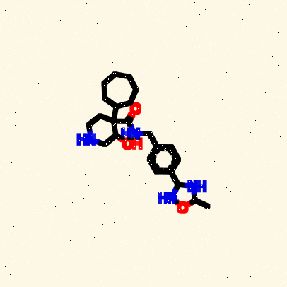 CC1NC(c2ccc(CNC(=O)C3(C4CCCCCC4)CCNCC3O)cc2)NO1